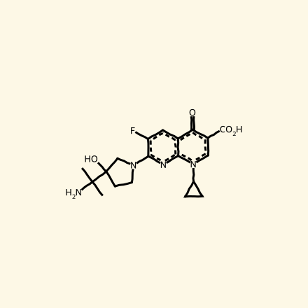 CC(C)(N)C1(O)CCN(c2nc3c(cc2F)c(=O)c(C(=O)O)cn3C2CC2)C1